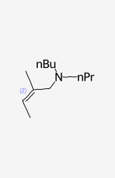 C/C=C(/C)CN(CCC)CCCC